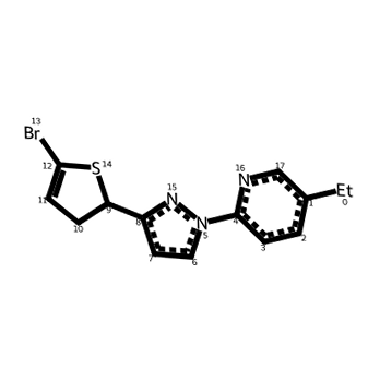 CCc1ccc(-n2ccc(C3CC=C(Br)S3)n2)nc1